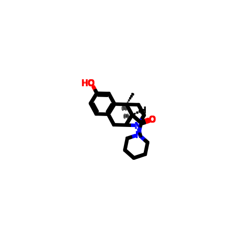 CN1CC[C@]2(C)c3cc(O)ccc3CC1[C@@H]2C(=O)N1CCCCC1